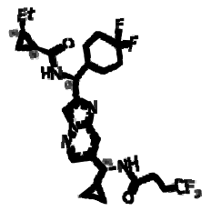 CC[C@@H]1C[C@@H]1C(=O)N[C@H](c1cn2ncc([C@H](NC(=O)CCC(F)(F)F)C3CC3)cc2n1)C1CCC(F)(F)CC1